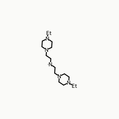 CCN1CCN(CC[N]CCN2CCN(CC)CC2)CC1